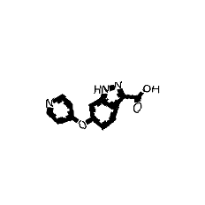 O=C(O)c1n[nH]c2cc(Oc3ccncc3)ccc12